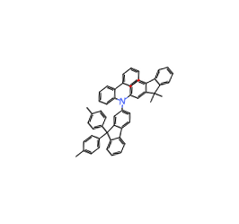 Cc1ccc(C2(c3ccc(C)cc3)c3ccccc3-c3ccc(N(c4ccc5c(c4)C(C)(C)c4ccccc4-5)c4ccccc4-c4ccccc4)cc32)cc1